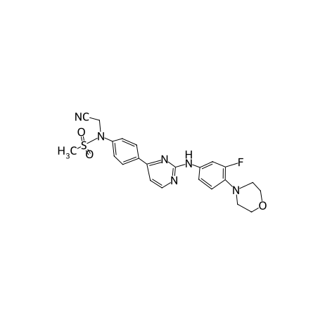 CS(=O)(=O)N(CC#N)c1ccc(-c2ccnc(Nc3ccc(N4CCOCC4)c(F)c3)n2)cc1